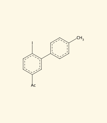 CC(=O)c1ccc(I)c(-c2ccc(C)cc2)c1